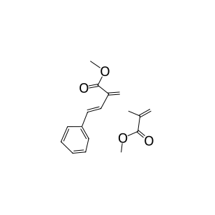 C=C(C)C(=O)OC.C=C(C=Cc1ccccc1)C(=O)OC